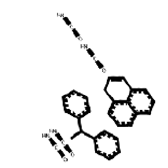 C1=Cc2cccc3cccc(c23)C1.CC(c1ccccc1)c1ccccc1.N=C=O.N=C=O.N=C=O.N=C=O